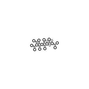 c1ccc(N(c2ccccc2)c2cc3c4c(c2)Oc2cc5c6c(c2B4c2ccccc2O3)Oc2ccccc2B6c2cc3c(cc2N5c2ccccc2)N(c2ccccc2)c2cc(N(c4ccccc4)c4ccccc4)cc4c2B3c2ccccc2N4c2ccccc2)cc1